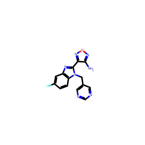 Nc1nonc1-c1nc2cc(F)ccc2n1Cc1cncnc1